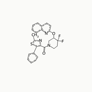 Cc1nc(C(=O)N2CCC(F)(F)C(Oc3ccc4ccccc4n3)C2)c(-c2ccccc2)s1